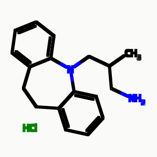 CC(CN)CN1c2ccccc2CCc2ccccc21.Cl